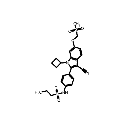 CCCS(=O)(=O)Nc1ccc(-c2c(C#N)c3ccc(OCS(C)(=O)=O)cc3n2C2CCC2)cc1